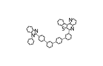 c1ccc(-n2c(-c3ccc(-c4cccc(-c5ccc(-c6cccc(-c7nc8cccnc8c8c7sc7ccccc78)c6)cc5)c4)cc3)nc3ccccc32)cc1